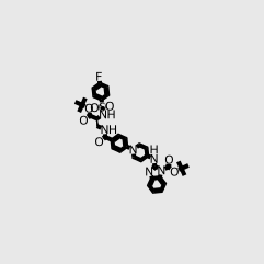 CC(C)(C)OC(=O)[C@H](CNC(=O)c1ccc(N2CCC(Nc3nc4ccccc4n3C(=O)OC(C)(C)C)CC2)cc1)NS(=O)(=O)c1ccc(F)cc1